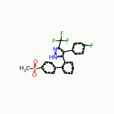 CS(=O)(=O)c1ccc(-c2ccccc2-c2[nH]nc(C(F)(F)F)c2-c2ccc(F)cc2)cc1